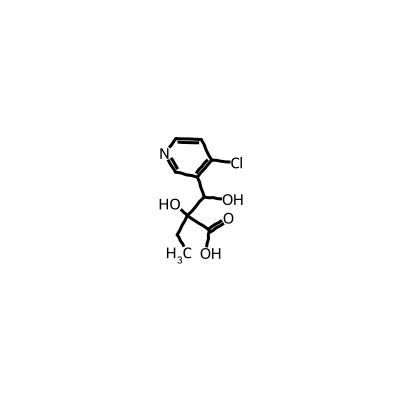 CCC(O)(C(=O)O)C(O)c1cnccc1Cl